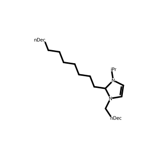 CCCCCCCCCCCCCCCCCC1N(CCCCCCCCCCC)C=CN1C(C)C